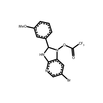 COc1cccc(C2Nc3ncc(Br)cc3N2OC(=O)C(F)(F)F)c1